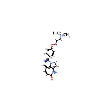 CN(C)CCCOc1ccc(C2=NC=C3C=CC(=O)NC4=C3N2CC4)cc1